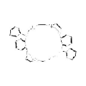 C1=CN2CN1CCCCP(c1ccccc1)c1ccccc1N1C=CN(CCCCP(c3ccccc3)c3ccccc32)C1